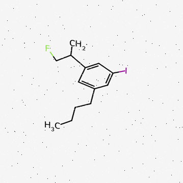 [CH2]C(CF)c1cc(I)cc(CCCC)c1